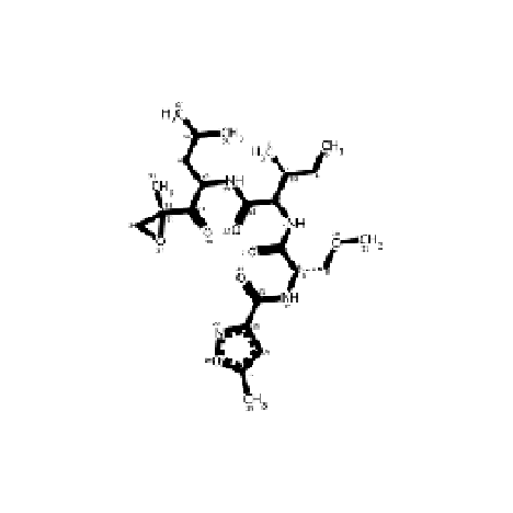 CC[C@H](C)C(NC(=O)[C@H](COC)NC(=O)c1cc(C)on1)C(=O)NC(CC(C)C)C(=O)[C@@]1(C)CO1